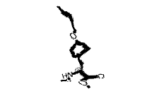 CC#CCOc1ccc(C[C@H](NOC)C(=O)OC)cc1